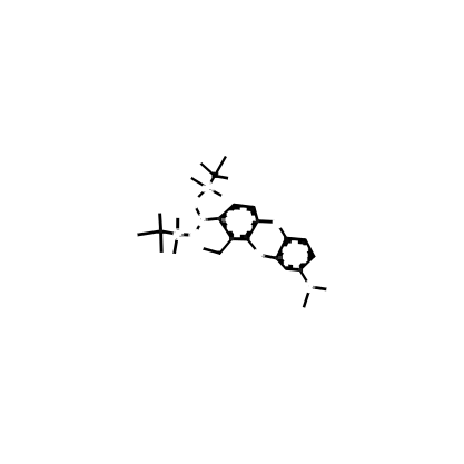 CCc1c(N(O[Si](C)(C)C(C)(C)C)O[Si](C)(C)C(C)(C)C)ccc2c1Nc1cc(N(C)C)ccc1S2